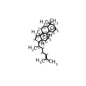 CC(C)=CCC[C@@H](C)[C@H]1CC[C@@]2(C)[C@@H]1CC[C@H]1[C@@]3(C)CCCC(C)(C)C3CC[C@]12C